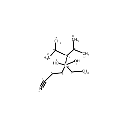 CCP(O)(O)(CCC#N)N(C(C)C)C(C)C